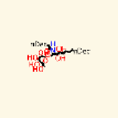 CCCCCCCCCCCCCCC(O)C(O)C(COC1OC(CO)C(O)C(O)C1O)NC(=O)CCCCCCCCCCC